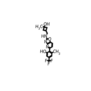 Cc1cc(C(F)(F)F)cc(O)c1-c1ccc2oc(NCC3CC(C)(O)C3)nc2n1